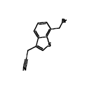 N#CCc1csc2c(CBr)cccc12